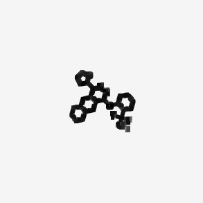 FC(F)(F)C(F)(F)c1ccccc1Oc1nnc(-c2ccco2)c2cc3ccccc3cc12